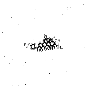 CN(C)[C@@H]1C(O)=C(C(N)=O)C(=O)[C@@]2(O)C(O)=C3C(=O)c4c(ccc(CN5CCC(C(F)(F)F)CC5)c4O)[C@@H]4CC(=O)O[C@@H]([C@@H]34)[C@@H]12